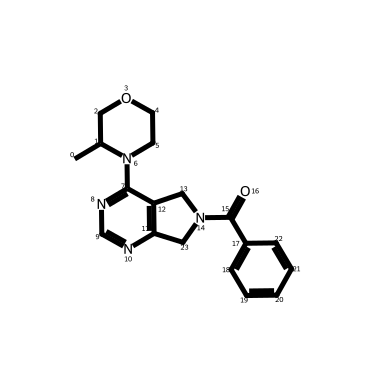 CC1COCCN1c1ncnc2c1CN(C(=O)c1ccccc1)C2